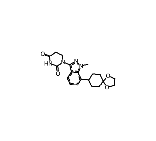 Cn1nc(N2CCC(=O)NC2=O)c2cccc(C3CCC4(CC3)OCCO4)c21